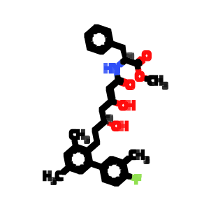 COC(=O)[C@H](Cc1ccccc1)NC(=O)C=C(O)C[C@H](O)CCc1c(C)cc(C)cc1-c1ccc(F)c(C)c1